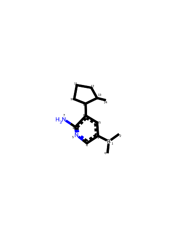 CB(C)c1cnc(N)c(C2CCCC2C)c1